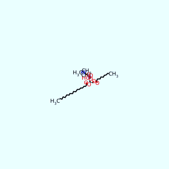 CCCCCCCCCCCCCCCCCC(=O)O[C@H](COC(=O)CCCCCCCC)COP(=O)(O)OCC[N+](C)(C)C